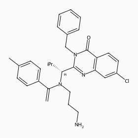 C=C(c1ccc(C)cc1)N(CCCN)[C@@H](c1nc2cc(Cl)ccc2c(=O)n1Cc1ccccc1)C(C)C